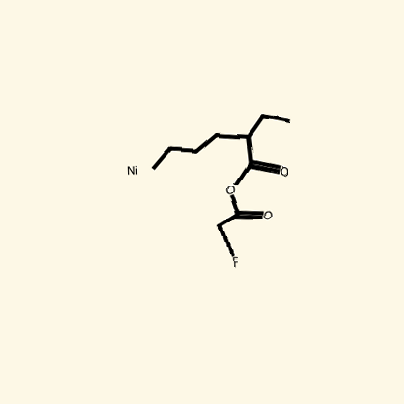 CCCCC(CC)C(=O)OC(=O)CF.[Ni]